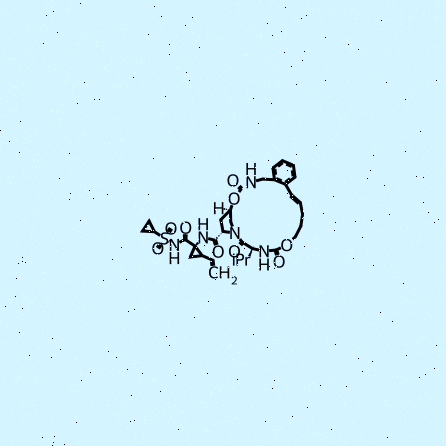 C=CC1C[C@]1(NC(=O)[C@@H]1C[C@@H]2CN1C(=O)[C@H](C(C)C)NC(=O)OCCC/C=C/c1ccccc1CNC(=O)O2)C(=O)NS(=O)(=O)C1CC1